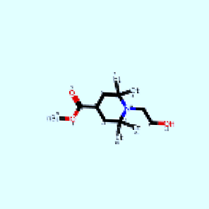 CCCCOC(=O)C1CC(CC)(CC)N(CCO)C(CC)(CC)C1